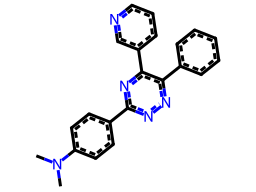 CN(C)c1ccc(-c2nnc(-c3ccccc3)c(-c3cccnc3)n2)cc1